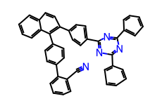 N#Cc1ccccc1-c1ccc(-c2c(-c3ccc(-c4nc(-c5ccccc5)nc(-c5ccccc5)n4)cc3)ccc3ccccc23)cc1